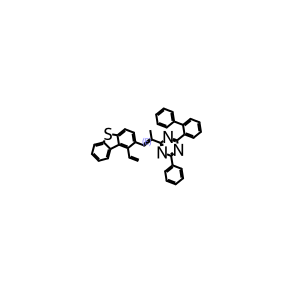 C=Cc1c(/C=C(\C)c2nc(-c3ccccc3)nc(-c3ccccc3-c3ccccc3)n2)ccc2sc3ccccc3c12